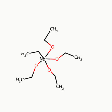 CC[O][Nb]([CH2]C)([O]CC)([O]CC)[O]CC